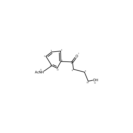 CC(=O)Nc1cccc(C(=O)CCCO)c1